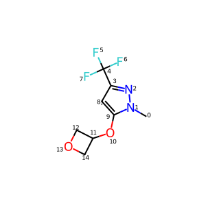 Cn1nc(C(F)(F)F)[c]c1OC1COC1